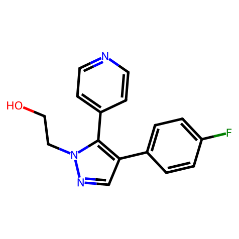 OCCn1ncc(-c2ccc(F)cc2)c1-c1ccncc1